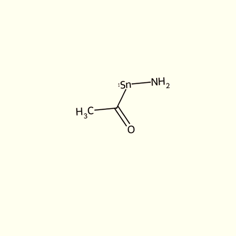 C[C](=O)[Sn][NH2]